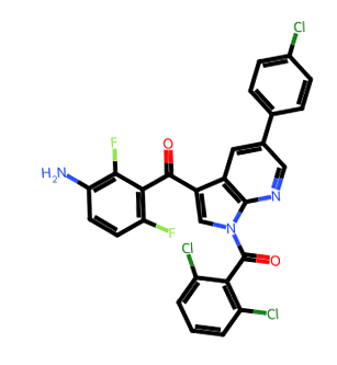 Nc1ccc(F)c(C(=O)c2cn(C(=O)c3c(Cl)cccc3Cl)c3ncc(-c4ccc(Cl)cc4)cc23)c1F